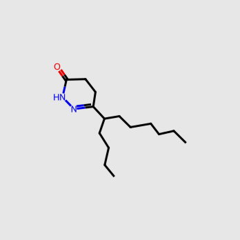 CCCCCCC(CCCC)C1=NNC(=O)CC1